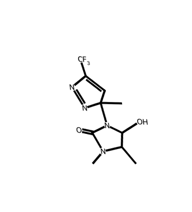 CC1C(O)N(C2(C)C=C(C(F)(F)F)N=N2)C(=O)N1C